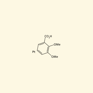 COc1cccc(C(=O)O)c1OC.[Pt]